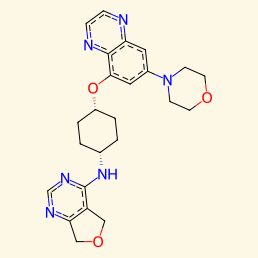 c1nc2c(c(N[C@H]3CC[C@@H](Oc4cc(N5CCOCC5)cc5nccnc45)CC3)n1)COC2